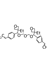 C=Cc1ccc(C(OCOCOC(c2ccc(C=C)cc2)C2(CC)COC2)C2(CC)COC2)cc1